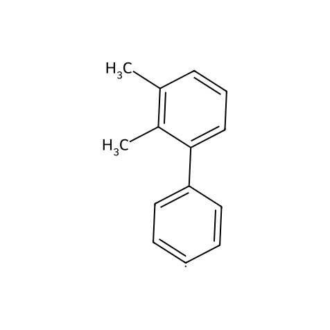 Cc1cccc(-c2cc[c]cc2)c1C